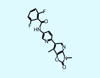 Cc1c(-c2ccc(NC(=O)c3c(F)cccc3F)cn2)cnc2c1oc(=O)n2C